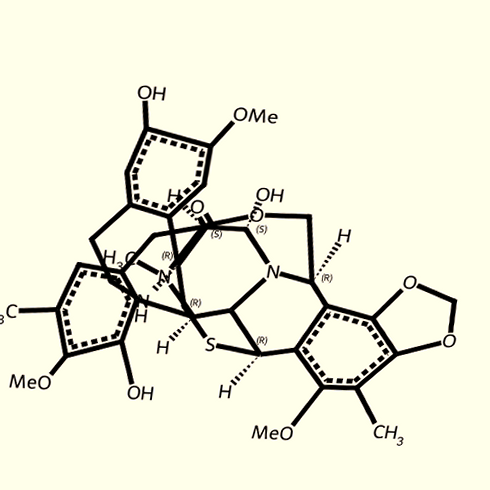 COc1cc2c(cc1O)CCN[C@]21CS[C@@H]2c3c(OC)c(C)c4c(c3[C@H](COC1=O)N1C2[C@H]2c3c(cc(C)c(OC)c3O)C[C@@H]([C@@H]1O)N2C)OCO4